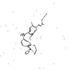 CCN(C)C=Nc1cc(C)c(Nc2ccc3c(c2)CCCC3=O)cc1C